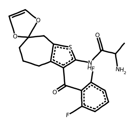 CC(N)C(=O)Nc1sc2c(c1C(=O)c1c(F)cccc1F)CCCC1(C2)OC=CO1